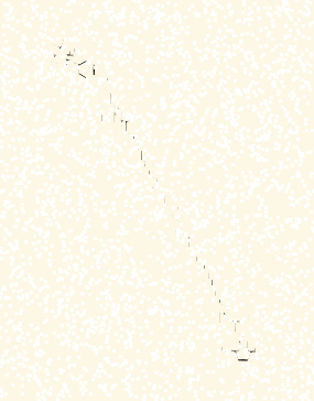 CC1(C)OB(c2ccc(OCCCCNC(=O)CCOCCOCCOCCOCCOCCOCCOCCOCCNC(=O)CCN3C(=O)C=CC3=O)cc2)OC1(C)C